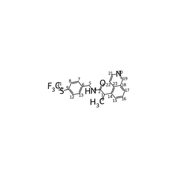 CC(C(=O)NCc1ccc(SC(F)(F)F)cc1)c1cccc2cnccc12